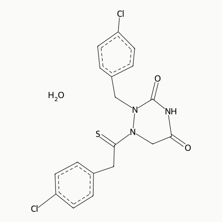 O.O=C1CN(C(=S)Cc2ccc(Cl)cc2)N(Cc2ccc(Cl)cc2)C(=O)N1